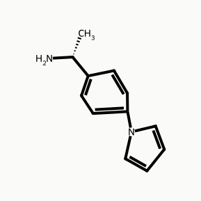 C[C@@H](N)c1ccc(-n2cccc2)cc1